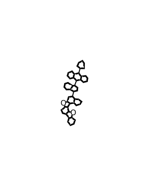 c1ccc(-c2c3ccccc3c(-c3ccc(-c4cc5oc6ccc7c8ccccc8oc7c6c5c5ccccc45)c4ccccc34)c3ccccc23)cc1